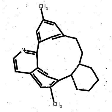 Cc1cc2cc(c1)-c1nccc3cc(C)c(cc13)C1CCCCC1CC2